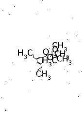 CCCc1cc(CCC)cc(C(=O)OC(COC)C(C)(C)C)c1